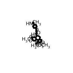 COc1cc2c(c(OC)c1OC)-c1ccc(OC)c(=O)cc1C(NC(=O)COc1ccc(C(C)=N)cc1)CC2